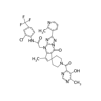 CC1=CC2(CCN(C(=O)c3ncnc(C)c3O)CC2)c2c1n(CC(=O)Nc1ccc(C(F)(F)F)cc1Cl)c1nc(-c3cccnc3C)nn1c2=O